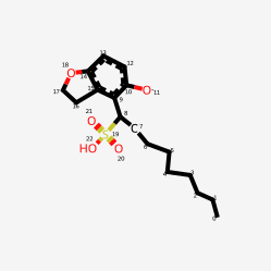 CCCCCCCCC(c1c([O])ccc2c1CCO2)S(=O)(=O)O